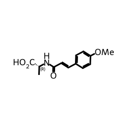 COc1ccc(C=CC(=O)N[C@H](C)C(=O)O)cc1